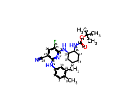 Cc1ccc(Nc2nc(N[C@@H]3CCCC[C@@H]3NC(=O)OC(C)(C)C)c(F)cc2C#N)cc1C